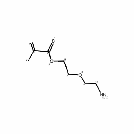 C=C(C)C(=O)OCCOCCN